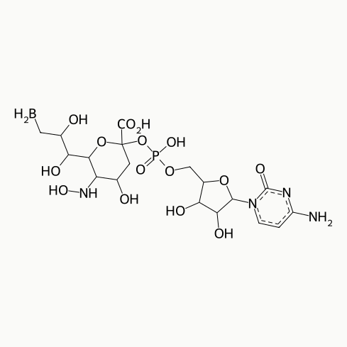 BCC(O)C(O)C1OC(OP(=O)(O)OCC2OC(n3ccc(N)nc3=O)C(O)C2O)(C(=O)O)CC(O)C1NO